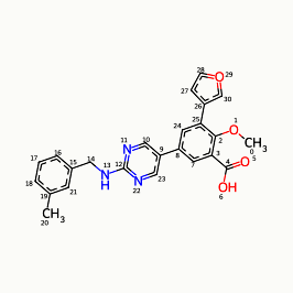 COc1c(C(=O)O)cc(-c2cnc(NCc3cccc(C)c3)nc2)cc1-c1ccoc1